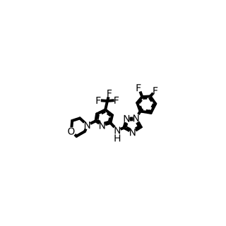 Fc1ccc(-n2cnc(Nc3cc(C(F)(F)F)cc(N4CCOCC4)n3)n2)cc1F